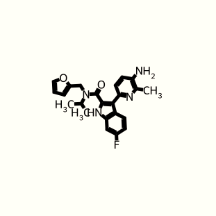 Cc1nc(-c2c(C(=O)N(Cc3ccco3)C(C)C)[nH]c3cc(F)ccc23)ccc1N